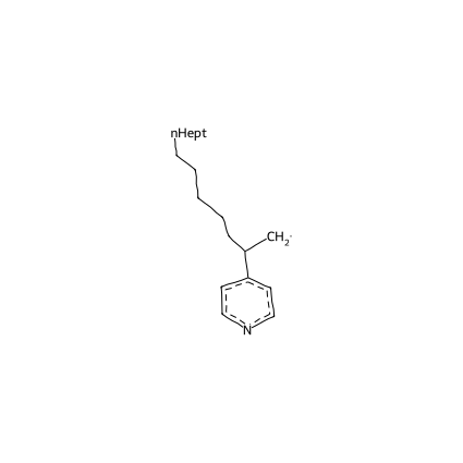 [CH2]C(CCCCCCCCCCCC)c1ccncc1